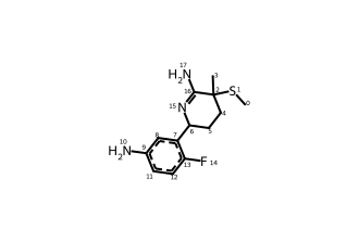 CSC1(C)CCC(c2cc(N)ccc2F)N=C1N